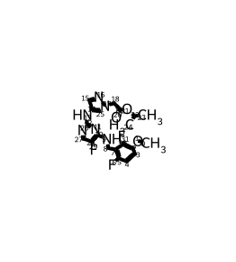 COc1ccc(F)c(CNc2nc(Nc3cnn(CC(=O)OC(C)C)c3)ncc2F)c1F